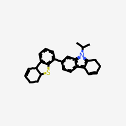 CC(C)n1c2c(c3ccc(-c4cccc5c4SC4CCC=CC54)cc31)C=CCC2